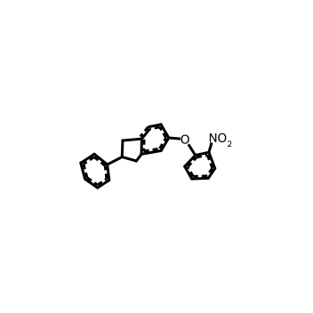 O=[N+]([O-])c1ccccc1Oc1ccc2c(c1)CC(c1ccccc1)C2